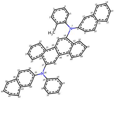 Cc1ccccc1N(c1ccc2ccccc2c1)c1cc2c3ccccc3c(N(c3ccccc3)c3ccc4ccccc4c3)cc2c2ccccc12